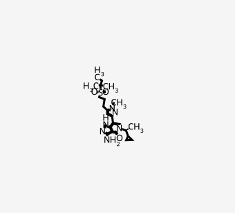 CCC(C)(C)S(=O)(=O)CCCc1cc(-c2cn([C@@H](C)C3CC3)c(=O)c3c(N)n[nH]c23)nn1C